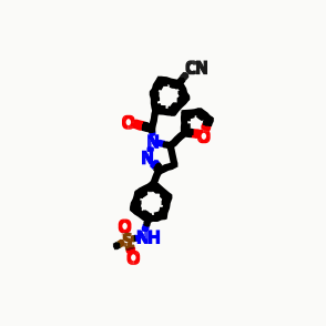 CS(=O)(=O)Nc1ccc(C2=NN(C(=O)c3ccc(C#N)cc3)C(c3ccco3)C2)cc1